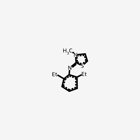 CCc1cccc(CC)c1N=c1sccn1C